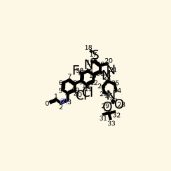 C=C/C=C\c1cccc(-c2c(Cl)cc3c(nc(SC)c4cnn(C5CCN(C(=O)OC(C)(C)C)CC5)c43)c2F)c1Cl